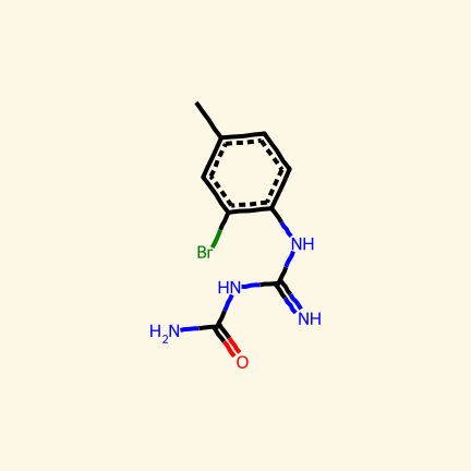 Cc1ccc(NC(=N)NC(N)=O)c(Br)c1